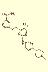 CN1CCC(c2ccc(Nc3ncc(C(F)(F)F)c(CCc4cc(C(N)=O)ccn4)n3)cc2)CC1